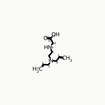 C=CCN(CC=C)CCNCC(=O)O